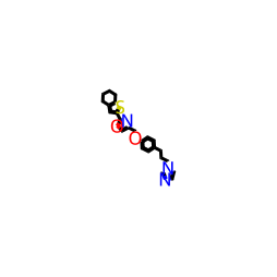 c1cn(CCCc2ccc(OCc3coc(-c4cc5c(s4)CCCC5)n3)cc2)cn1